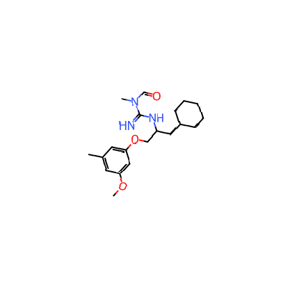 COc1cc(C)cc(OCC(CC2CCCCC2)NC(=N)N(C)C=O)c1